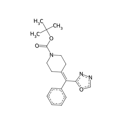 CC(C)(C)OC(=O)N1CCC(=C(c2ccccc2)c2nnco2)CC1